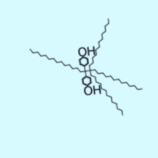 CCCCCCCCCCCCCCC(c1ccc(O)cc1)(c1ccc(O)cc1)C(CCCCCCCCCCCCC)(CCCCCCCCCCCCC)CCCCCCCCCCCCC